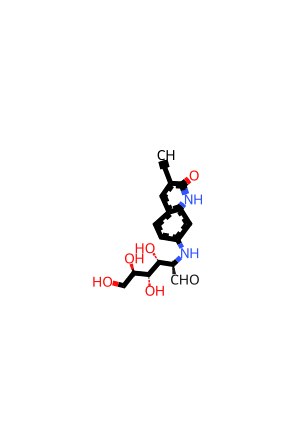 C#Cc1cc2ccc(N[C@@H](C=O)[C@@H](O)[C@H](O)[C@H](O)CO)cc2[nH]c1=O